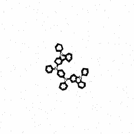 C1=CCCC(n2c3c(c4ccccc42)=CC(N(c2ccccc2)c2ccc(N(c4ccccc4)c4ccc5c(c4)C4C=CC=CC4N5c4ccccc4)cc2)CC=3)=C1